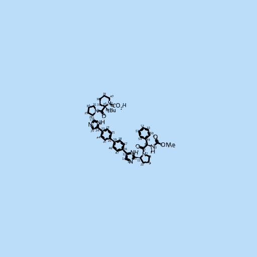 COC(=O)N[C@@H](C(=O)N1CCC[C@H]1c1ncc(-c2ccc(-c3ccc(-c4cnc([C@@H]5CCCN5C(=O)[C@]5(C(C)(C)C)CCCCN5C(=O)O)[nH]4)cc3)cc2)[nH]1)c1ccccc1